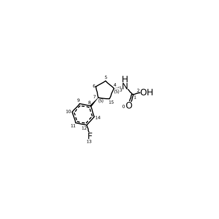 O=C(O)N[C@H]1CC[C@H](c2cccc(F)c2)C1